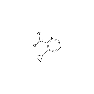 O=[N+]([O-])c1ncccc1C1CC1